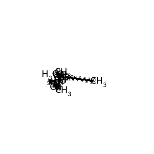 CCCCCCCCCCCCO[C@H]1O[C@H]([C@@H]2CN(C)C(=O)N2CC2CC2)[C@@H]2OC(C)(C)O[C@H]12